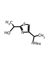 CCCCCCC(C)c1csc(C(C)O)n1